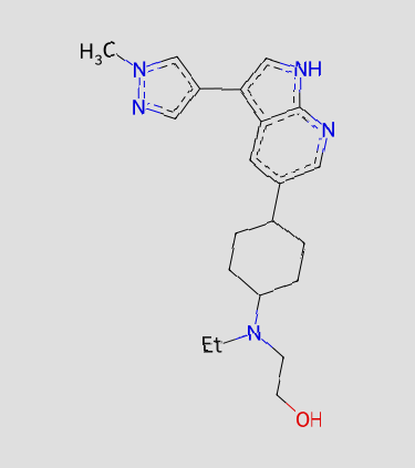 CCN(CCO)C1CCC(c2cnc3[nH]cc(-c4cnn(C)c4)c3c2)CC1